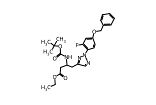 CCOC(=O)CC(Cc1cnn(-c2ccc(OCc3ccccc3)cc2F)n1)NC(=O)OC(C)(C)C